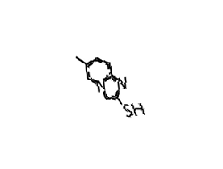 Cc1ccc2nc(S)cn2c1